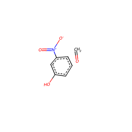 C=O.O=[N+]([O-])c1cccc(O)c1